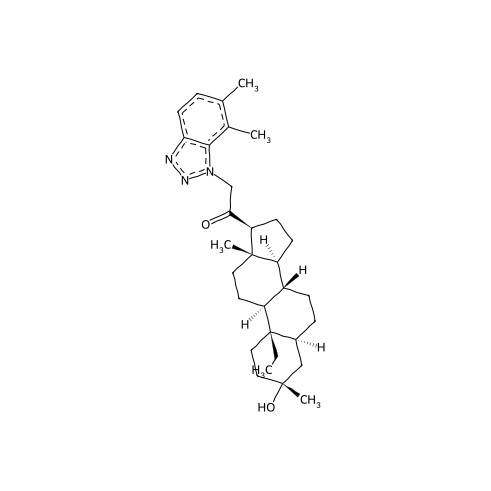 CC[C@]12CC[C@@](C)(O)C[C@@H]1CC[C@H]1[C@@H]3CC[C@H](C(=O)Cn4nnc5ccc(C)c(C)c54)[C@@]3(C)CC[C@@H]12